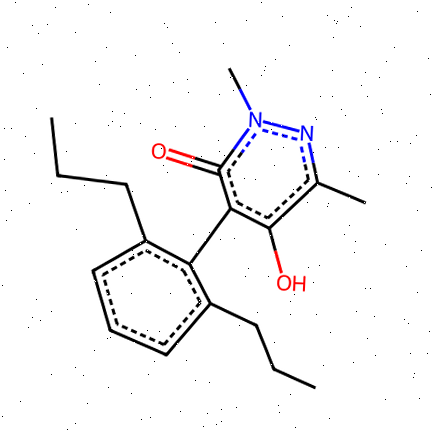 CCCc1cccc(CCC)c1-c1c(O)c(C)nn(C)c1=O